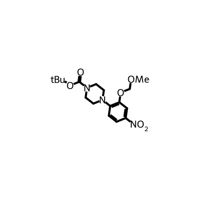 COCOc1cc([N+](=O)[O-])ccc1N1CCN(C(=O)OC(C)(C)C)CC1